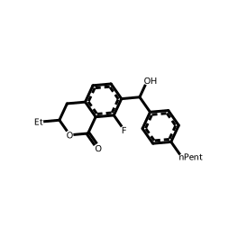 CCCCCc1ccc(C(O)c2ccc3c(c2F)C(=O)OC(CC)C3)cc1